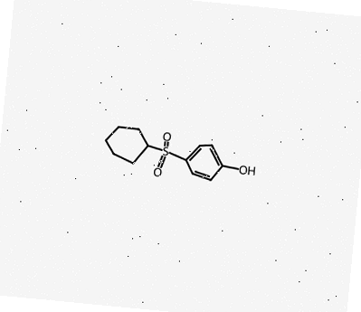 O=S(=O)(c1ccc(O)cc1)C1CCCCC1